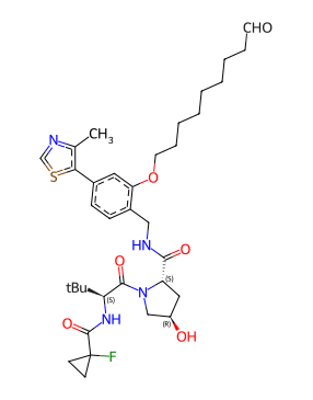 Cc1ncsc1-c1ccc(CNC(=O)[C@@H]2C[C@@H](O)CN2C(=O)[C@@H](NC(=O)C2(F)CC2)C(C)(C)C)c(OCCCCCCCCC=O)c1